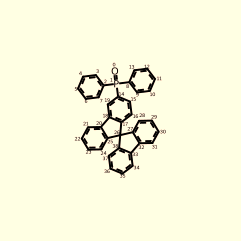 O=P(c1ccccc1)(c1ccccc1)c1ccc2c(c1)-c1ccccc1C21c2ccccc2-c2ccccc21